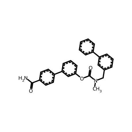 CN(Cc1cccc(-c2ccccc2)c1)C(=O)Oc1cccc(-c2ccc(C(N)=O)cc2)c1